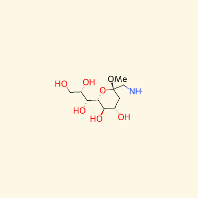 CO[C@@]1(C[NH])C[C@H](O)[C@@H](O)[C@H]([C@H](O)[C@@H](O)CO)O1